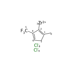 CC1=[C]([Zr+2])C(C(F)(F)F)=CC1.[Cl-].[Cl-]